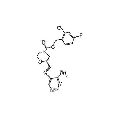 Nc1ncncc1/N=C/[C@@H]1CN(C(=O)OCc2ccc(F)cc2Cl)CCO1